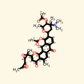 CCCC(=O)Oc1c(C2CC(C)(N(C)C)C(OC(=O)CCC)C(C)O2)ccc2c1C(=O)c1c(cc(C)c3c(=O)cc(C4(C)OC4C4OC4C)oc13)C2=O